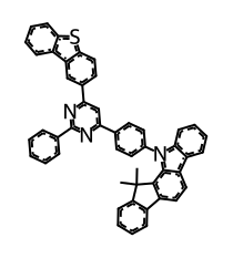 CC1(C)c2ccccc2-c2ccc3c4ccccc4n(-c4ccc(-c5cc(-c6ccc7sc8ccccc8c7c6)nc(-c6ccccc6)n5)cc4)c3c21